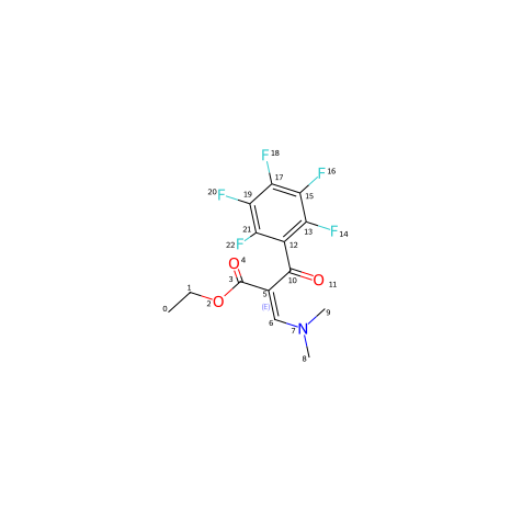 CCOC(=O)/C(=C/N(C)C)C(=O)c1c(F)c(F)c(F)c(F)c1F